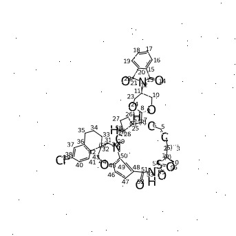 C[C@@H]1[C@@H](C)CCC[C@@H]([C@H]2OC[C@H](N3C(=O)c4ccccc4C3=O)CO2)[C@@H]2CC[C@H]2CN2C[C@@]3(CCCc4cc(Cl)ccc43)COc3ccc(cc32)C(=O)NS1(=O)=O